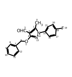 Cc1c(C=O)c(OCc2ccccc2)nn1-c1ccc(F)cc1